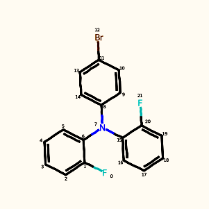 Fc1ccccc1N(c1ccc(Br)cc1)c1ccccc1F